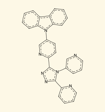 c1ccc(-c2nnc(-c3ccc(-n4c5ccccc5c5ccccc54)cn3)n2-c2cccnc2)nc1